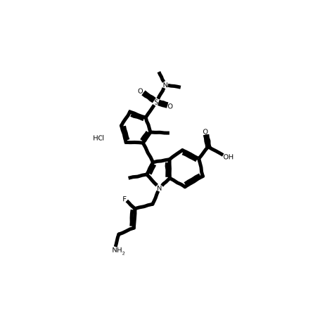 Cc1c(-c2c(C)n(CC(F)=CCN)c3ccc(C(=O)O)cc23)cccc1S(=O)(=O)N(C)C.Cl